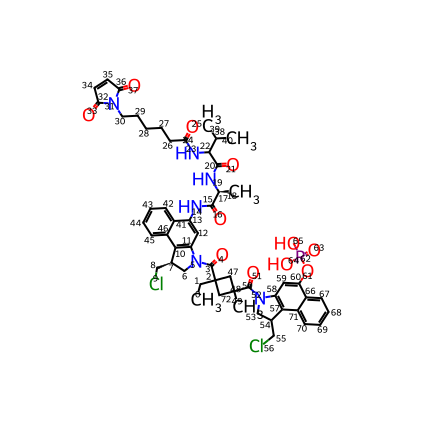 CCC1(C(=O)N2C[C@@H](CCl)c3c2cc(NC(=O)[C@H](C)NC(=O)C(NC(=O)CCCCCN2C(=O)C=CC2=O)C(C)C)c2ccccc32)CC(C)(C(=O)N2CC(CCl)c3c2cc(OP(=O)(O)O)c2ccccc32)C1